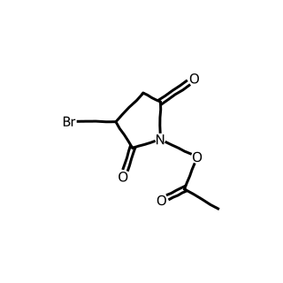 CC(=O)ON1C(=O)CC(Br)C1=O